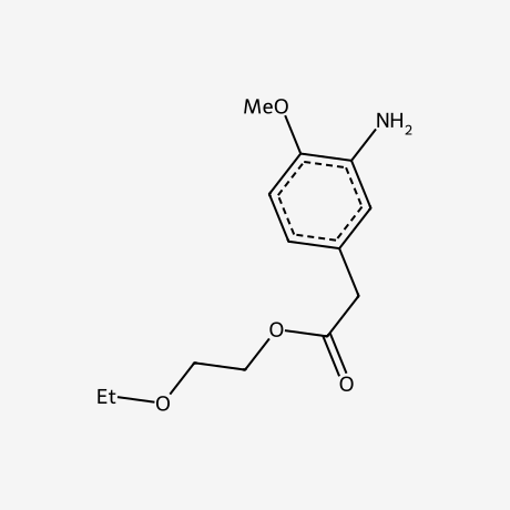 CCOCCOC(=O)Cc1ccc(OC)c(N)c1